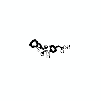 O=C(O)Cc1ccc(NS(=O)(=O)c2cc3ccccc3s2)cc1